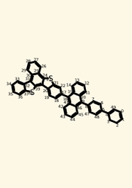 C1=CCCC(c2ccc(-c3c4ccccc4c(-c4ccc5c(c4)sc4c6ccccc6c6c7ccccc7sc6c54)c4ccccc34)cc2)=C1